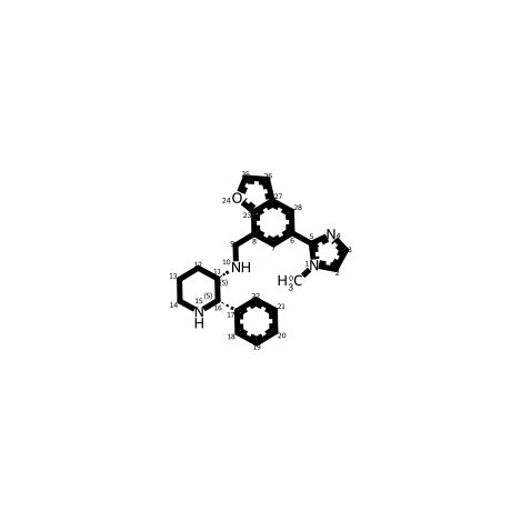 Cn1ccnc1-c1cc(CN[C@H]2CCCN[C@H]2c2ccccc2)c2occc2c1